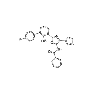 O=C(Nc1oc(-c2cccc(-c3ccc(F)cc3)c2O)nc1-c1ccsc1)c1ccccc1